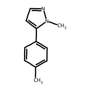 Cc1ccc(-c2ccnn2C)cc1